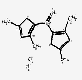 [CH2]=[Ti+2]([C]1=C(C)C=C(C)C1)[C]1=C(C)C=C(C)C1.[Cl-].[Cl-]